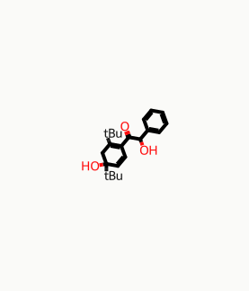 CC(C)(C)C1=C(C(=O)C(O)c2ccccc2)C=CC(O)(C(C)(C)C)C1